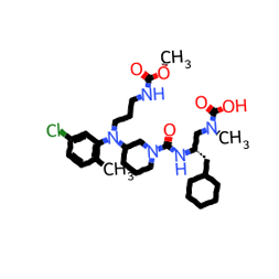 COC(=O)NCCCN(c1cc(Cl)ccc1C)C1CCCN(C(=O)N[C@@H](CC2CCCCC2)CN(C)C(=O)O)C1